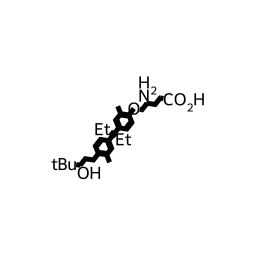 CCC(CC)(c1ccc(CCC(O)C(C)(C)C)c(C)c1)c1ccc(OCC(N)CCC(=O)O)c(C)c1